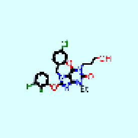 CCn1c(=O)n(CCCO)c(=O)c2c1nc(Oc1cccc(F)c1F)n2Cc1ccc(Cl)cc1